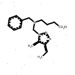 C=c1/c(=C\C)nnn1CN(CCCC(=O)OCC)Cc1ccccc1